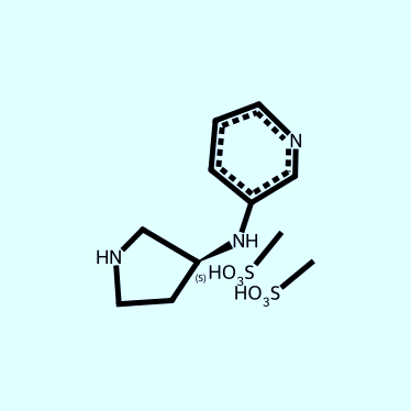 CS(=O)(=O)O.CS(=O)(=O)O.c1cncc(N[C@H]2CCNC2)c1